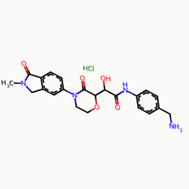 CN1Cc2cc(N3CCOC(C(O)C(=O)Nc4ccc(CN)cc4)C3=O)ccc2C1=O.Cl